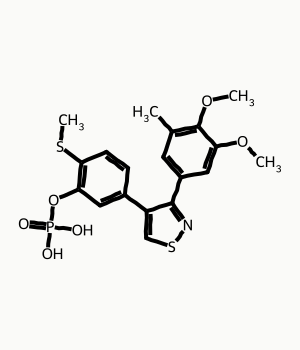 COc1cc(-c2nscc2-c2ccc(SC)c(OP(=O)(O)O)c2)cc(C)c1OC